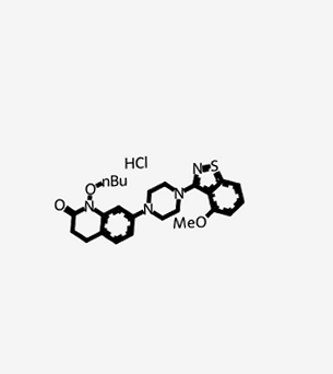 CCCCON1C(=O)CCc2ccc(N3CCN(c4nsc5cccc(OC)c45)CC3)cc21.Cl